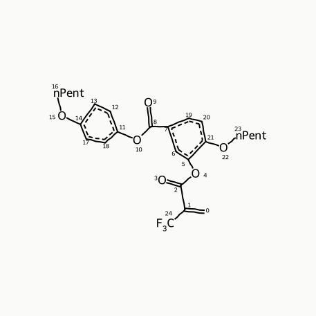 C=C(C(=O)Oc1cc(C(=O)Oc2ccc(OCCCCC)cc2)ccc1OCCCCC)C(F)(F)F